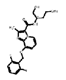 CSCC[C@H](CO)NC(=O)c1c(C)nc2c(OCc3c(F)cccc3F)cccn12